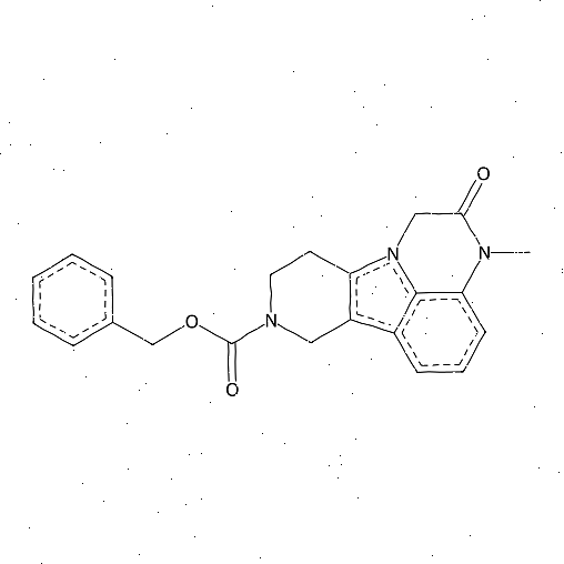 CN1C(=O)Cn2c3c(c4cccc1c42)CN(C(=O)OCc1ccccc1)CC3